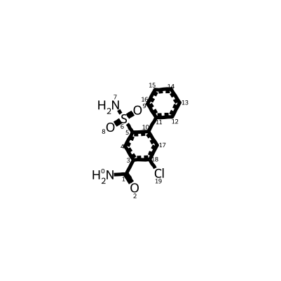 NC(=O)c1cc(S(N)(=O)=O)c(-c2ccccc2)cc1Cl